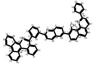 Cc1c(-c2ccc3nc(-c4cccc(-c5nc6c7ccccc7c7ccccc7c6c6ccccc56)c4)ccc3c2)ccc2ccc3ccc(-c4ccccc4)nc3c12